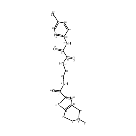 CN1CCc2sc(C(=O)NCCNC(=O)C(=O)Nc3ccc(Cl)cn3)nc2C1